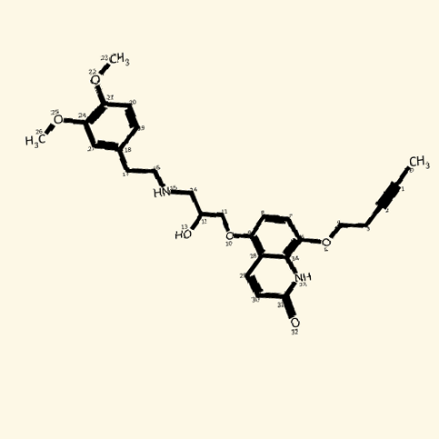 CC#CCCOc1ccc(OCC(O)CNCCc2ccc(OC)c(OC)c2)c2ccc(=O)[nH]c12